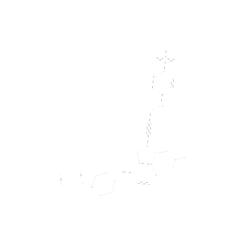 COc1cc(S(C)(=O)=O)ccc1NCC#Cc1cc2c(N[C@]3(I)CC[C@](C)(N4CCOCC4)CC3)cccc2n1CC(F)F